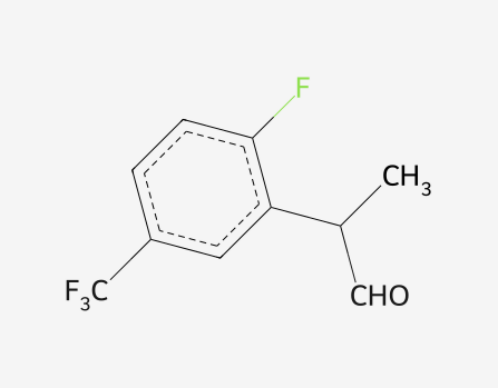 CC(C=O)c1cc(C(F)(F)F)ccc1F